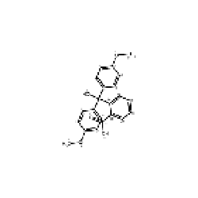 COc1ccc(C(O)(c2ccc(OC)cc2)c2ccccc2C(=O)O)cc1